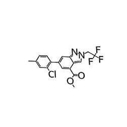 COC(=O)c1cc(-c2ccc(C)cc2Cl)cc2nn(CC(F)(F)F)cc12